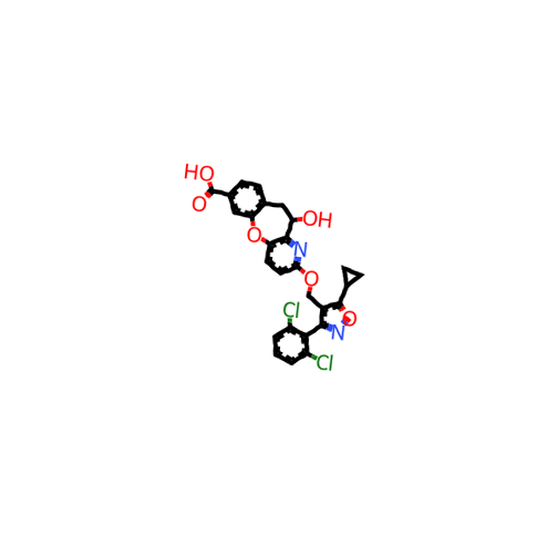 O=C(O)c1ccc2c(c1)Oc1ccc(OCc3c(-c4c(Cl)cccc4Cl)noc3C3CC3)nc1C(O)C2